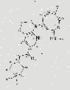 CNC1/C=C(N2CCCC3=C2NCC(C(=O)CN2CCC(C)(F)CC2)=C3)\C=C/C(C)ON1